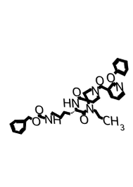 CCCN1C(=O)[C@H](CCCCNC(=O)OCc2ccccc2)NC(=O)C12CCN(C(=O)c1cccnc1Oc1ccccc1)CC2